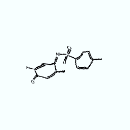 CC1=CC(=O)C(F)=C/C1=N/S(=O)(=O)c1ccc(C)cc1